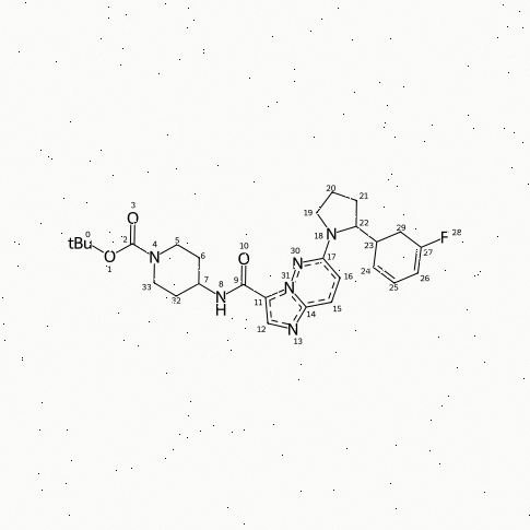 CC(C)(C)OC(=O)N1CCC(NC(=O)c2cnc3ccc(N4CCCC4C4C=CC=C(F)C4)nn23)CC1